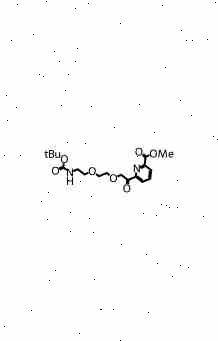 COC(=O)c1cccc(C(=O)COCCOCCNC(=O)OC(C)(C)C)n1